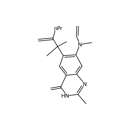 C=CN(C)c1cc2c(cc1C(C)(C)C(=C)CCC)C(=C)NC(C)=N2